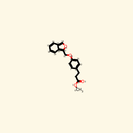 COC(=O)CCc1ccc(OCc2occ3ccccc23)cc1